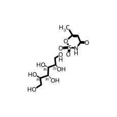 CC1=CC(=O)NS(=O)(=O)O1.OC[C@@H](O)[C@@H](O)[C@H](O)[C@@H](O)CO